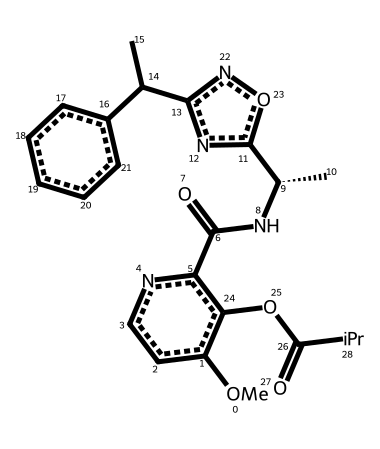 COc1ccnc(C(=O)N[C@@H](C)c2nc(C(C)c3ccccc3)no2)c1OC(=O)C(C)C